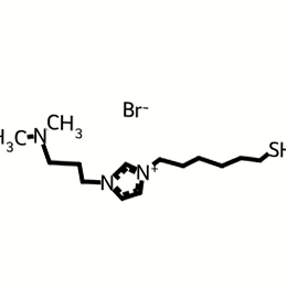 CN(C)CCCn1cc[n+](CCCCCCS)c1.[Br-]